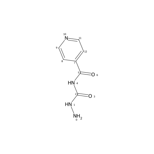 NNC(=O)NC(=O)c1ccncc1